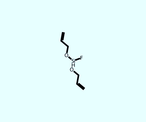 C=CCO[SiH](F)OCC=C